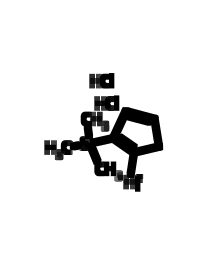 C[Si](C)(C)C1=[C]([Hf])CC=C1.Cl.Cl